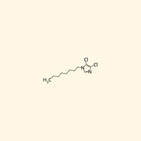 CCCCCCCCn1cnc(Cl)c1Cl